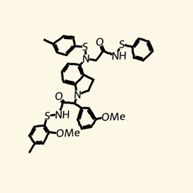 COc1cccc(C(C(=O)NSc2ccc(C)cc2OC)N2CCc3c(N(CC(=O)NSc4ccccc4)Sc4ccc(C)cc4)cccc32)c1